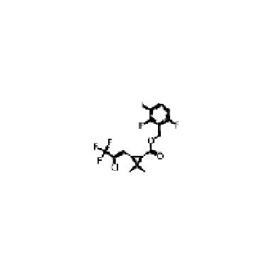 CC1(C)[C@H](C(=O)OCc2c(F)ccc(I)c2F)[C@@H]1/C=C(\Cl)C(F)(F)F